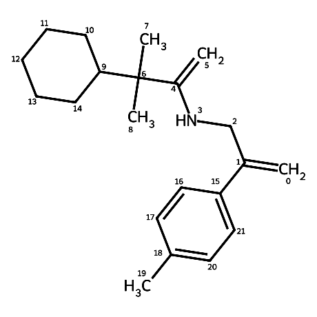 C=C(CNC(=C)C(C)(C)C1CCCCC1)c1ccc(C)cc1